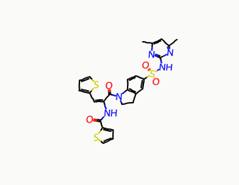 Cc1cc(C)nc(NS(=O)(=O)c2ccc3c(c2)CCN3C(=O)/C(=C\c2cccs2)NC(=O)c2cccs2)n1